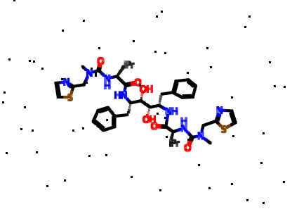 CC(C)[C@H](NC(=O)N(C)Cc1nccs1)C(=O)N[C@@H](Cc1ccccc1)[C@H](O)[C@@H](O)[C@H](Cc1ccccc1)NC(=O)[C@@H](NC(=O)N(C)Cc1nccs1)C(C)C